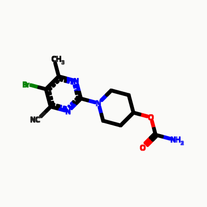 Cc1nc(N2CCC(OC(N)=O)CC2)nc(C#N)c1Br